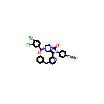 COc1ccc(-n2c(-c3cc(Cc4ccccc4)ccn3)c3n(c2=O)CCN(C(=O)c2ccc(Br)c(Cl)c2)C3)cc1